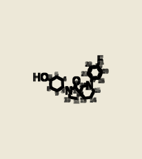 O=C1N([C@H]2CC[C@H](O)CC2)CC[C@]12CCCN(c1ccc(F)cc1)C2